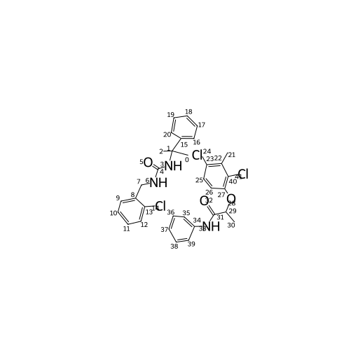 CC(C)(NC(=O)NCc1ccccc1Cl)c1ccccc1.Cc1c(Cl)ccc(OC(C)C(=O)Nc2ccccc2)c1Cl